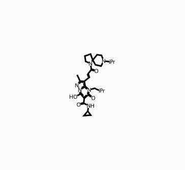 Cc1nn2c(O)c(C(=O)NC3CC3)c(=O)n(CC(C)C)c2c1C=CC(=O)N1CCCC12CCN(C(C)C)CC2